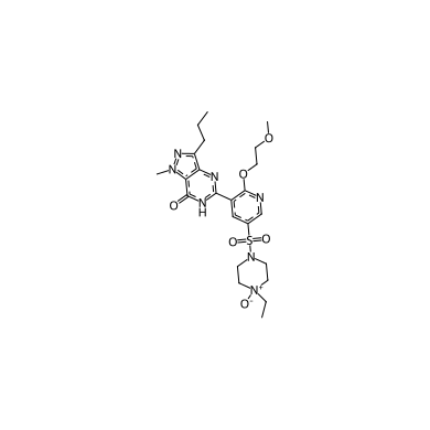 CCCc1nn(C)c2c(=O)[nH]c(-c3cc(S(=O)(=O)N4CC[N+]([O-])(CC)CC4)cnc3OCCOC)nc12